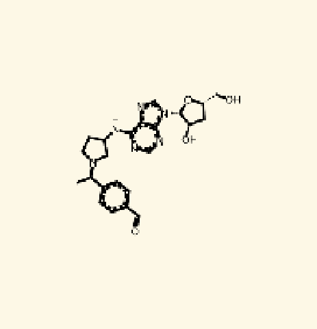 CC(c1ccc(C=O)cc1)N1CCC(Nc2ncnc3c2ncn3[C@@H]2O[C@H](CO)C[C@H]2O)C1